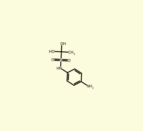 CC(O)(O)S(=O)(=O)Nc1ccc(N)cc1